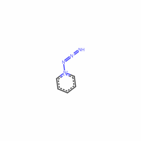 N=[N+]=N[n+]1ccccc1